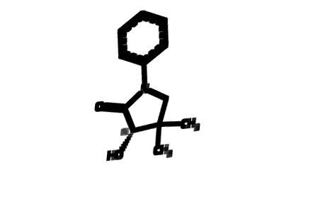 CC1(C)CN(c2ccccc2)C(=O)[C@H]1O